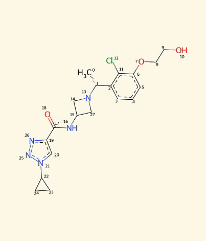 C[C@H](c1cccc(OCCO)c1Cl)N1CC(NC(=O)c2cn(C3CC3)nn2)C1